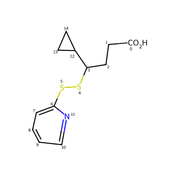 O=C(O)CCC(SSc1ccccn1)C1CC1